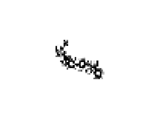 N#CC1CN(c2cnc3ccc(-c4ccc(NC(=O)Cc5ccccc5)cc4)cc3n2)CCO1